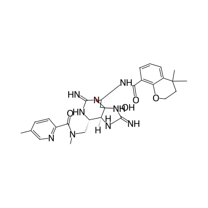 Cc1ccc(C(=O)N(C)C[C@@H]2NC(=N)N3CC(NC(=O)c4cccc5c4OCCC5(C)C)[C@@H](O)C34NC(=N)N[C@@H]24)nc1